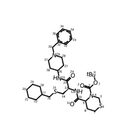 CC(C)(C)OC(=O)N1CSCCC1C(=O)N[C@@H](CSCC1CCCCC1)C(=O)NC1CCN(Cc2ccccc2)CC1